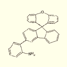 Nc1ccccc1-c1ccc2c(c1)-c1ccccc1C21c2ccccc2Oc2ccccc21